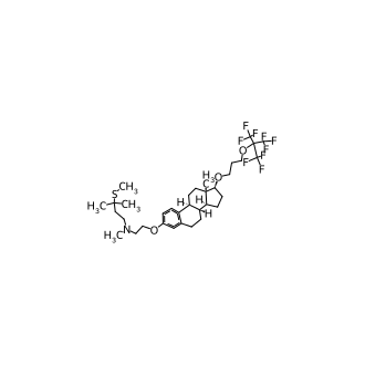 CSC(C)(C)CCN(C)CCOc1ccc2c(c1)CC[C@@H]1[C@@H]2CC[C@]2(C)[C@@H](OCCCOC(C(F)(F)F)(C(F)(F)F)C(F)(F)F)CC[C@@H]12